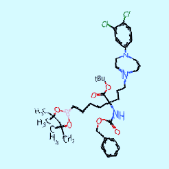 CC(C)(C)OC(=O)C(CCCCB1OC(C)(C)C(C)(C)O1)(CCCN1CCN(c2ccc(Cl)c(Cl)c2)CC1)NC(=O)OCc1ccccc1